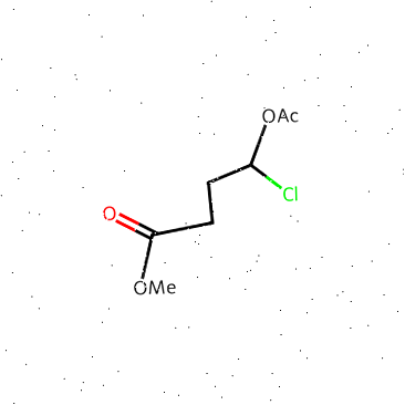 COC(=O)CCC(Cl)OC(C)=O